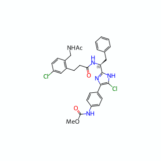 COC(=O)Nc1ccc(-c2nc([C@H](Cc3ccccc3)NC(=O)CCc3cc(Cl)ccc3CNC(C)=O)[nH]c2Cl)cc1